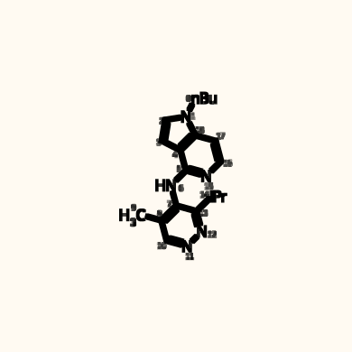 CCCCn1ccc2c(Nc3c(C)cnnc3C(C)C)nccc21